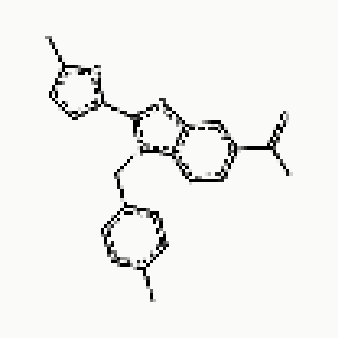 CC(=O)c1ccc2c(c1)nc(-c1ccc(C)o1)n2Cc1ccc(C)cc1